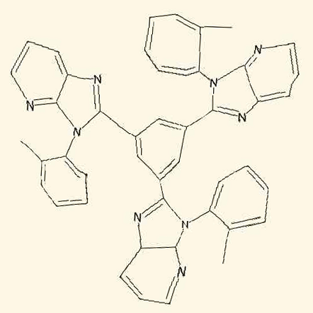 Cc1ccccc1N1C(c2cc(-c3nc4cccnc4n3-c3ccccc3C)cc(-c3nc4cccnc4n3-c3ccccc3C)c2)=NC2C=CC=NC21